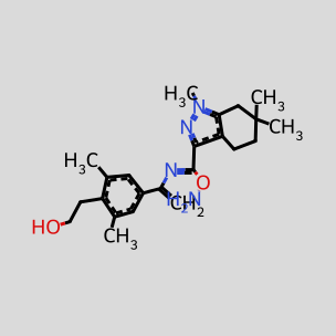 C=C(/N=C(\ON)c1nn(C)c2c1CCC(C)(C)C2)c1cc(C)c(CCO)c(C)c1